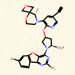 C#Cc1cnc(O[C@H]2C[C@@H](C(=O)O)N(c3nc(C(F)(F)F)nc4c3oc3cc(CC)ccc34)C2)c(N2CCOC3(COC3)[C@@H]2C)c1